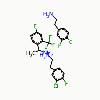 CC(N)c1ccc(F)cc1C(F)(F)F.NCCc1ccc(Cl)c(F)c1.NCCc1ccc(F)c(Cl)c1